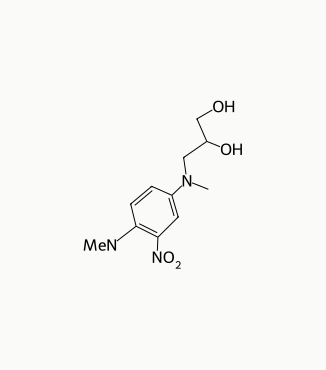 CNc1ccc(N(C)CC(O)CO)cc1[N+](=O)[O-]